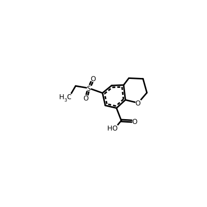 CCS(=O)(=O)c1cc2c(c(C(=O)O)c1)OCCC2